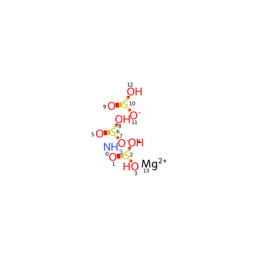 N.O=S(O)O.O=S([O-])O.O=S([O-])O.[Mg+2]